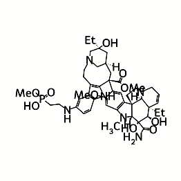 CC[C@]1(O)C[C@@H]2CN(CCc3c([nH]c4ccc(NCCP(=O)(O)OC)cc34)[C@@](C(=O)OC)(c3cc4c(cc3OC)N(C)[C@H]3[C@@](O)(C(N)=O)[C@H](O)[C@]5(CC)C=CCN6CC[C@]43[C@@H]65)C2)C1